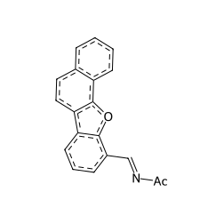 CC(=O)/N=C/c1cccc2c1oc1c3ccccc3ccc21